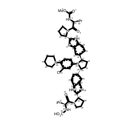 COC(=O)N[C@H](C(=O)N1CCC[C@H]1c1nc2cc([C@H]3CC[C@H](c4ccc5[nH]c([C@@H]6CCCN6C(=O)[C@@H](NC(=O)O)C(C)C)nc5c4)N3c3ccc(N4CCCCC4)c(Cl)c3)ccc2[nH]1)C(C)C